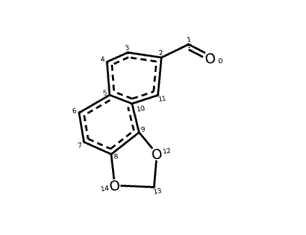 O=[C]c1ccc2ccc3c(c2c1)OCO3